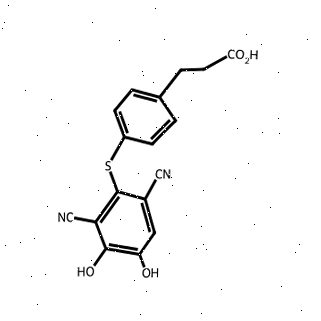 N#Cc1cc(O)c(O)c(C#N)c1Sc1ccc(CCC(=O)O)cc1